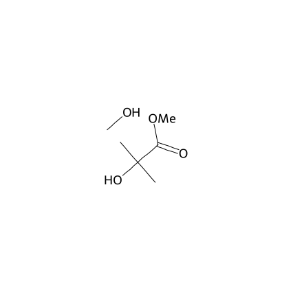 CO.COC(=O)C(C)(C)O